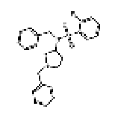 O=S(=O)(c1ccccc1F)N(Cc1ccccc1)C1CCN(Cc2ccccc2)C1